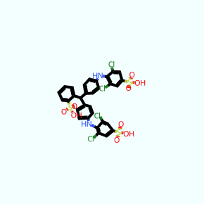 O=S(=O)(O)c1cc(Cl)c(Nc2ccc(C(c3ccc(Nc4c(Cl)cc(S(=O)(=O)O)cc4Cl)cc3)c3ccccc3S(=O)(=O)O)cc2)c(Cl)c1